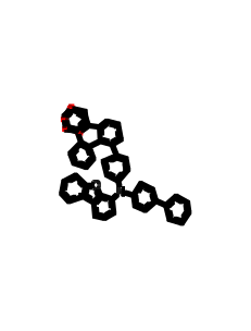 c1ccc(-c2ccc(N(c3ccc(-c4cccc(-c5ccccc5)c4-c4ccccc4-c4ccccc4)cc3)c3cccc4c3oc3ccccc34)cc2)cc1